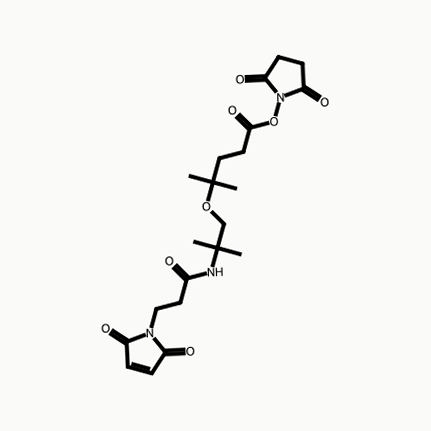 CC(C)(COC(C)(C)CCC(=O)ON1C(=O)CCC1=O)NC(=O)CCN1C(=O)C=CC1=O